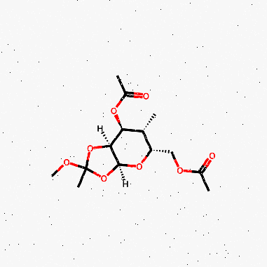 COC1(C)O[C@@H]2O[C@@H](COC(C)=O)[C@@H](C)[C@H](OC(C)=O)[C@@H]2O1